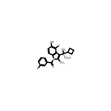 Cc1c([C@](C)(C(=O)O)C2CCC2)c2c(F)c(O)ccc2n1C(=O)c1cccc(F)c1